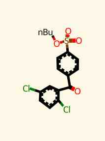 CCCCOS(=O)(=O)c1ccc(C(=O)c2cc(Cl)ccc2Cl)cc1